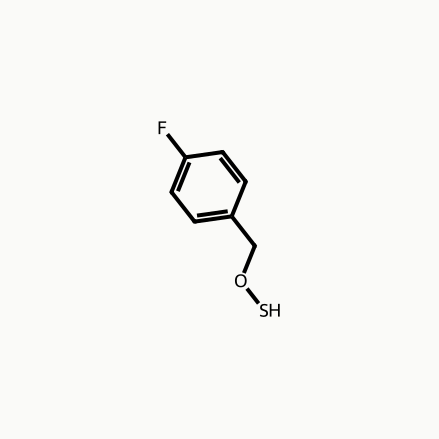 Fc1ccc(COS)cc1